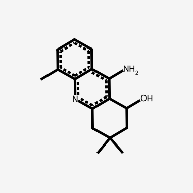 Cc1cccc2c(N)c3c(nc12)CC(C)(C)CC3O